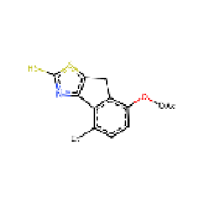 CCc1ccc(OOC(C)=O)c2c1-c1nc(S)sc1C2